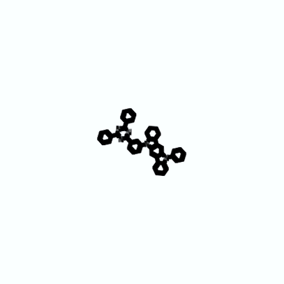 c1ccc(-c2nc(-c3ccccc3)nc(-c3cccc(-n4c5c(c6cc7c(cc64)c4ccccc4n7-c4ccccc4)CCCC5)c3)n2)cc1